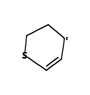 [C]1C=CSCC1